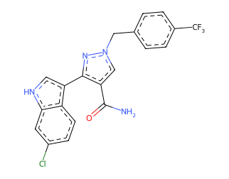 NC(=O)c1cn(Cc2ccc(C(F)(F)F)cc2)nc1-c1c[nH]c2cc(Cl)ccc12